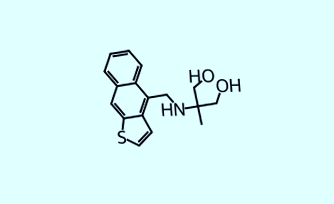 CC(CO)(CO)NCc1c2ccccc2cc2sccc12